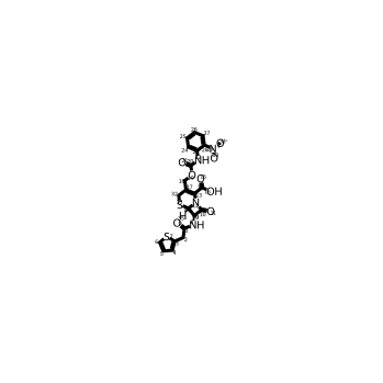 O=C(Cc1cccs1)N[C@@H]1C(=O)N2C(C(=O)O)=C(COC(=O)Nc3ccccc3[N+](=O)[O-])CS[C@H]12